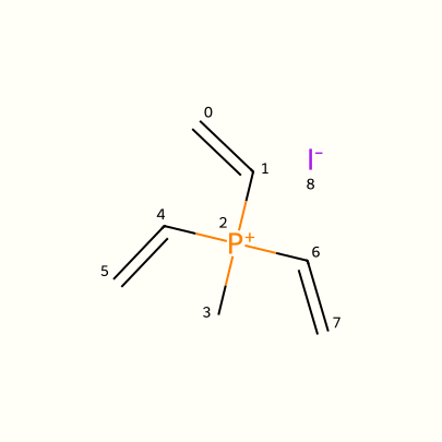 C=C[P+](C)(C=C)C=C.[I-]